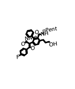 CCCCCNC(=O)c1c(CCCO)cc2oc(-c3ccc(F)cc3)c(C(=O)NC)c2c1-c1ccccc1